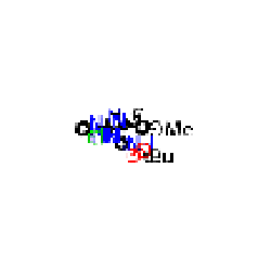 COc1ccc(-c2cc3c(N[C@@H]4CC[C@H](NC(=O)OC(C)(C)C)C4)c(/C(N)=N/c4ccccc4Cl)cnn3c2)c(C)c1